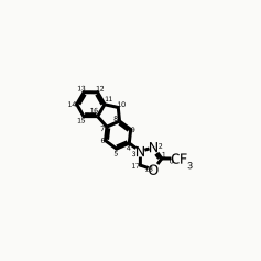 FC(F)(F)C1=NN(c2ccc3c(c2)Cc2ccccc2-3)CO1